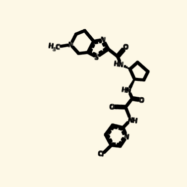 CN1CCc2nc(C(=O)N[C@@H]3CCC[C@H]3NC(=O)C(=O)Nc3ccc(Cl)cn3)sc2C1